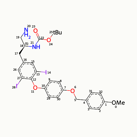 COc1ccc(COc2ccc(Oc3c(I)cc(C[C@@H](CN)NC(=O)OC(C)(C)C)cc3I)cc2)cc1